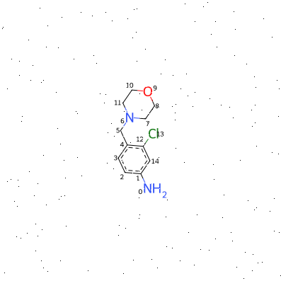 Nc1ccc(CN2CCOCC2)c(Cl)c1